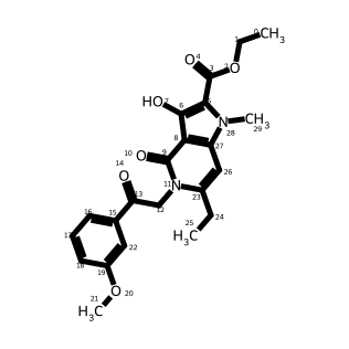 CCOC(=O)c1c(O)c2c(=O)n(CC(=O)c3cccc(OC)c3)c(CC)cc2n1C